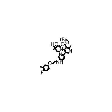 Cc1cc(OCCNc2ccc(-c3cnc(C)c([C@H](OC(C)(C)C)C(=O)O)c3N3CCC(C)(C)CC3)nc2)ccc1F